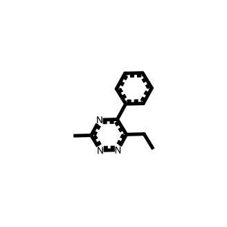 CCc1nnc(C)nc1-c1ccccc1